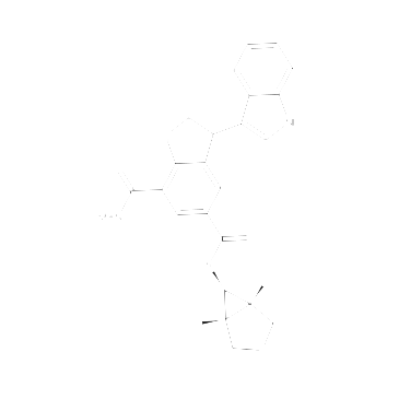 CNC(=O)c1cc(C(=O)N[C@H]2[C@@H]3COC[C@@H]32)cc2c1OCC2c1c[nH]c2ccccc12